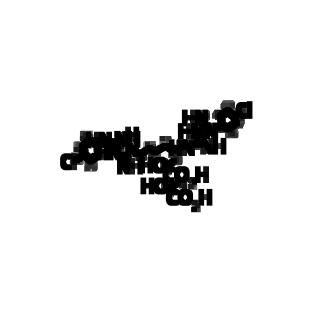 CC(O)C(=O)O.CC(O)C(=O)O.N=C(NCCCCCCNC(=N)NC(=N)Nc1ccc(Cl)cc1)NC(=N)Nc1ccc(Cl)cc1